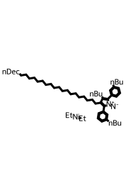 CCCCCCCCCCCCCCCCCCCCCCCCCCCCCC1=C(c2cccc(CCCC)c2)[N+](=[N-])C(c2cccc(CCCC)c2)=C1CCCC.C[CH2][Ni][CH2]C